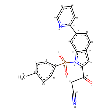 Cc1ccc(S(=O)(=O)n2c(C(=O)CC#N)cc3ccc(-c4ccccn4)cc32)cc1